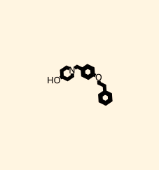 OC1CCN(Cc2ccc(OCCc3ccccc3)cc2)CC1